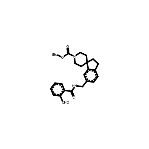 CC(C)(C)OC(=O)N1CCC2(CCc3ccc(CNC(=O)c4ccccc4C=O)cc32)CC1